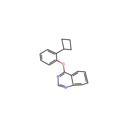 c1ccc(C2CCC2)c(Oc2ncnc3ccccc23)c1